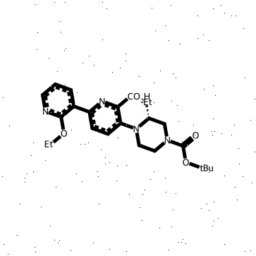 CCOc1ncccc1-c1ccc(N2CCN(C(=O)OC(C)(C)C)C[C@H]2CC)c(C(=O)O)n1